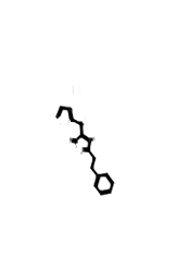 Cc1ccoc1C(=O)C1=C(O)C(CCc2ccccc2)=NC1=O